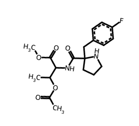 COC(=O)C(NC(=O)C1(Cc2ccc(F)cc2)CCCN1)C(C)OC(C)=O